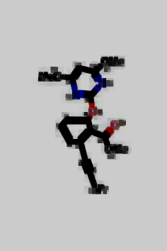 CCCC#Cc1cccc(Oc2nc(OC)cc(OC)n2)c1C(=O)OC